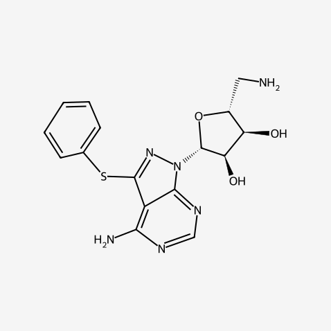 NC[C@H]1O[C@@H](n2nc(Sc3ccccc3)c3c(N)ncnc32)[C@H](O)[C@@H]1O